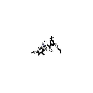 CCCOc1cc(C(=O)Cn2nc3c(C)c(C)c(OCC)nn3/c2=N/C)cc(C(C)(C)C)c1